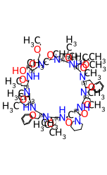 CCOCCN1CC(=O)N(C)[C@@H](CC(C)C)C(=O)N[C@@H](COC(C)(C)C)C(=O)N(C)[C@@H](Cc2ccccc2)C(=O)N(C)[C@@H](CC)C(=O)N[C@@H](C(=O)N2CCCCC2)CC(=O)N[C@H](CC(C)C)C(=O)N(C)[C@@H](Cc2ccccc2)C(=O)N[C@@H](CC(C)C)C(=O)N(C)[C@@H](CC)C(=O)N[C@@H]([C@@H](C)O)C1=O